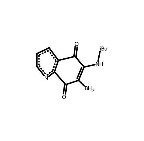 BC1=C(NC(C)CC)C(=O)c2cccnc2C1=O